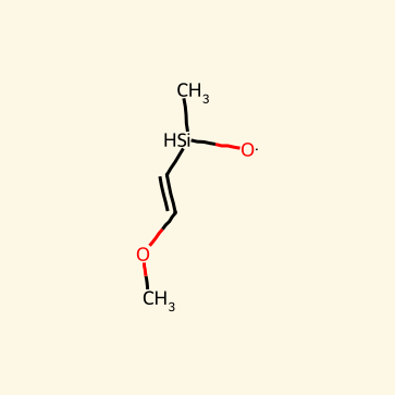 COC=C[SiH](C)[O]